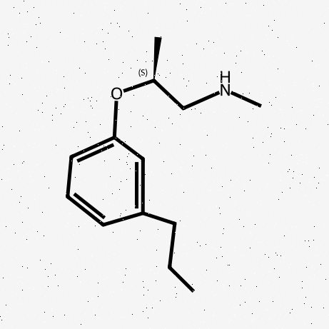 CCCc1cccc(O[C@@H](C)CNC)c1